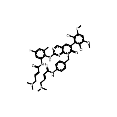 COc1cc(OC)c(Cl)c(-c2cc3cnc(Nc4c(C)cc(F)cc4NC(=O)/C=C/CN(C)C)nc3n(Cc3ccc(NC(=O)/C=C/CN(C)C)cc3)c2=O)c1Cl